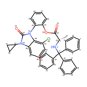 C[C@H](NC(c1ccccc1)(c1ccccc1)c1ccccc1)C(=O)Oc1ccccc1-n1c(=O)n(C2CC2)c2cccc(Cl)c21